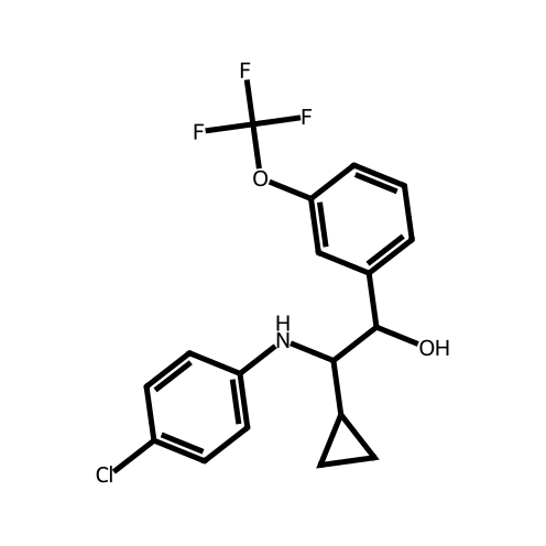 OC(c1cccc(OC(F)(F)F)c1)C(Nc1ccc(Cl)cc1)C1CC1